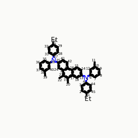 CCc1ccc(N(c2cccc(C)c2)c2ccc3c(c2)c(C)c(C)c2cc(N(c4ccc(CC)cc4)c4cccc(C)c4)ccc23)cc1